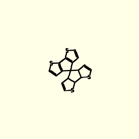 C1=CC2C(S1)C1SC=CC1C21c2ccsc2-c2sccc21